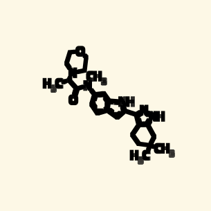 C[C@H](C(=O)N(C)c1ccc2cc(-c3n[nH]c4c3CCC(C)(C)C4)[nH]c2c1)N1CCOCC1